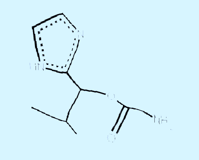 CC(C)C(OC(N)=O)c1ncc[nH]1